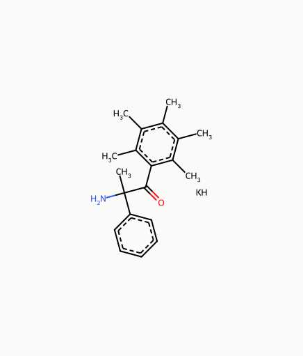 Cc1c(C)c(C)c(C(=O)C(C)(N)c2ccccc2)c(C)c1C.[KH]